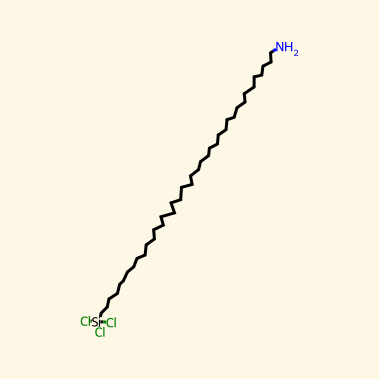 NCCCCCCCCCCCCCCCCCCCCCCCCCCCCCCCCCCCCCCC[Si](Cl)(Cl)Cl